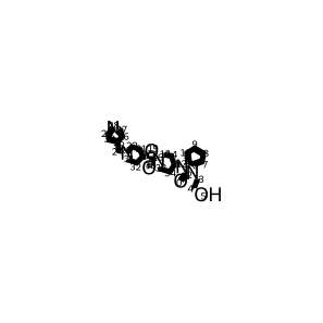 O=c1n(CCO)c2ccccc2n1C1CCN(S(=O)(=O)C2CCN(Cc3ccncc3)CC2)CC1